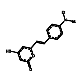 CCN(CC)c1ccc(/C=C/c2cc(O)cc(=O)o2)cc1